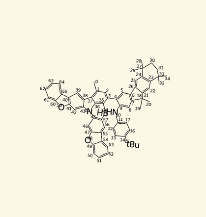 Cc1cc(-c2cc3c(cc2Nc2ccc(C(C)(C)C)cc2)C(C)(C)c2cc4c(cc2-3)C(C)(C)CCC4(C)C)c2c3c1c1cc4c(cc1n3-c1cc3oc5ccccc5c3cc1B2)oc1ccccc14